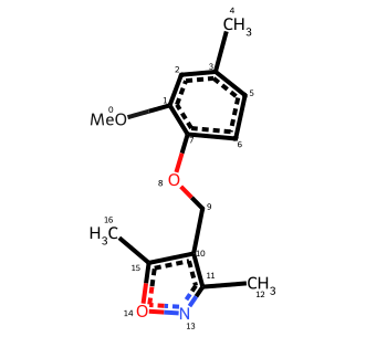 COc1cc(C)ccc1OCc1c(C)noc1C